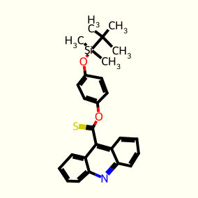 CC(C)(C)[Si](C)(C)Oc1ccc(OC(=S)c2c3ccccc3nc3ccccc23)cc1